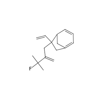 C=CC1(CC(=C)C(C)(C)F)CC2=CC=CC1C2